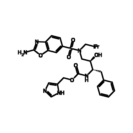 CC(C)CN(C[C@@H](O)[C@H](Cc1ccccc1)NC(=O)OCc1cnc[nH]1)S(=O)(=O)c1ccc2nc(N)oc2c1